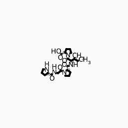 CC[C@H](C)[C@H](NC(=O)[C@@H]1CCCN1C(=O)CNC(=O)[C@@H]1CCCN1)C(=O)N1CCC[C@H]1C(=O)O